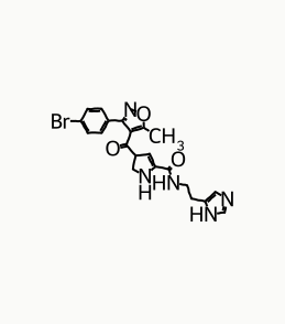 Cc1onc(-c2ccc(Br)cc2)c1C(=O)C1C=C(C(=O)NCCc2cnc[nH]2)NC1